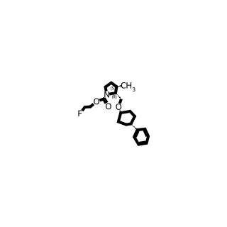 C[C@H]1CCN(C(=O)OCCF)[C@H]1CO[C@H]1CC[C@@H](c2ccccc2)CC1